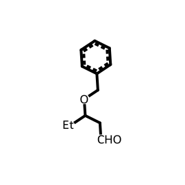 CCC(CC=O)OCc1ccccc1